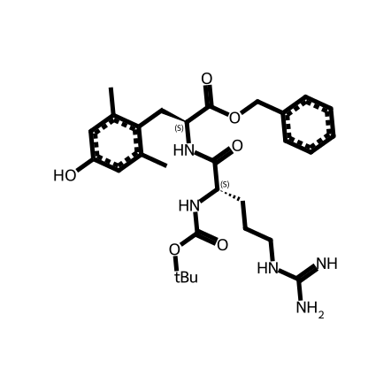 Cc1cc(O)cc(C)c1C[C@H](NC(=O)[C@H](CCCNC(=N)N)NC(=O)OC(C)(C)C)C(=O)OCc1ccccc1